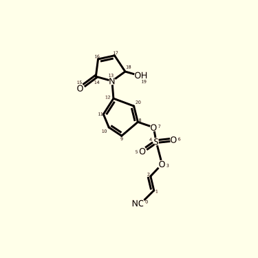 N#C/C=C/OS(=O)(=O)Oc1cccc(N2C(=O)C=CC2O)c1